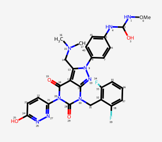 CONC(O)Nc1ccc(-n2nc3c(c2CN(C)C)c(=O)n(-c2ccc(O)nn2)c(=O)n3Cc2c(F)cccc2F)cc1